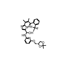 Cc1c(-c2ccccc2C(F)(F)F)nn2c(C(O)Nc3cccc(OC[C@H]4COC(C)(C)O4)n3)cnc2c1C